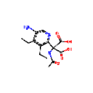 CCc1c(N)cnc(C(NC(C)=O)(C(=O)O)C(=O)O)c1CC